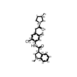 C[C@@H]1CCN(C(=O)Cc2cc(Cl)c(NC(=O)C3CN(C)c4ccccc43)cc2F)C1